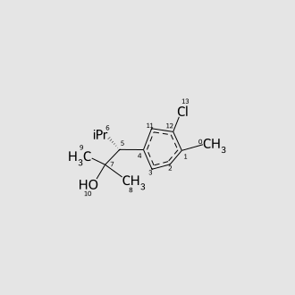 Cc1ccc([C@@H](C(C)C)C(C)(C)O)cc1Cl